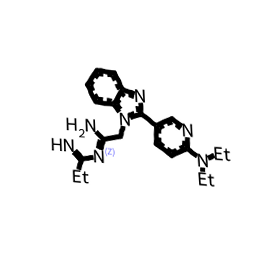 CCC(=N)/N=C(\N)Cn1c(-c2ccc(N(CC)CC)nc2)nc2ccccc21